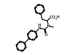 CN(C(=O)Nc1ccc(-c2ccccc2)cc1)C(Cc1ccccc1)C(=O)O